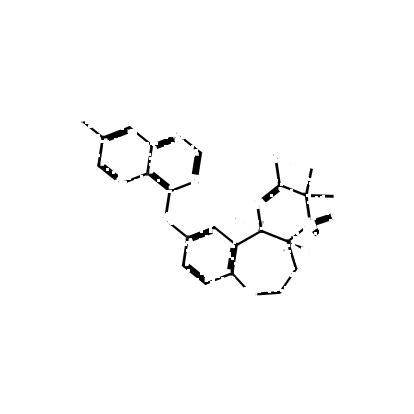 CC1(C)C(N)=N[C@]2(C)c3cc(Nc4ncnc5cc(Cl)cnc45)ccc3OCC[C@H]2S1(=O)=O